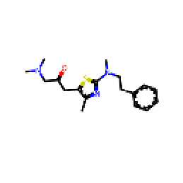 Cc1nc(N(C)CCc2ccccc2)sc1CC(=O)CN(C)C